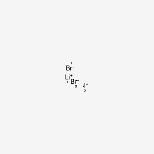 [Br-].[Br-].[I+].[Li+]